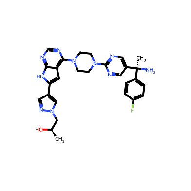 C[C@@H](O)Cn1cc(-c2cc3c(N4CCN(c5ncc([C@@](C)(N)c6ccc(F)cc6)cn5)CC4)ncnc3[nH]2)cn1